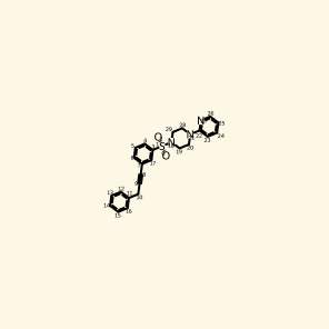 O=S(=O)(c1cccc(C#CCc2ccccc2)c1)N1CCN(c2ccccn2)CC1